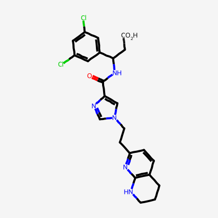 O=C(O)CC(NC(=O)c1cn(CCc2ccc3c(n2)NCCC3)cn1)c1cc(Cl)cc(Cl)c1